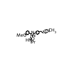 COc1cccc(-c2nc(-c3ccc(CCN4CCN(C)CC4)cc3)nn2CC(=O)NC(C)C)c1